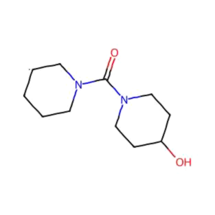 O=C(N1C[CH]CCC1)N1CCC(O)CC1